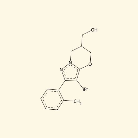 Cc1ccccc1-c1nn2c(c1C(C)C)OCC(CO)C2